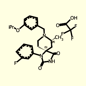 CC(C)Oc1cccc(CN2CC[C@]3(C[C@H]2C)C(=O)NC(=O)N3c2cccc(F)c2)c1.O=C(O)C(F)(F)F